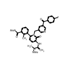 C=C(Nc1ccc(-c2cccc(C(=O)NC)c2C)n(Cc2cncc(C(=O)c3ccc(F)cc3)c2)c1=O)[C@H](C)NC